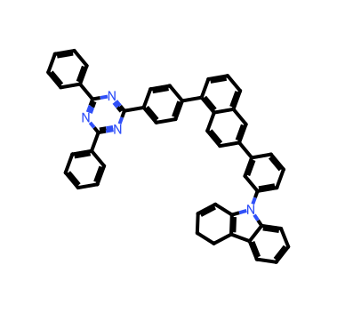 C1=Cc2c(c3ccccc3n2-c2cccc(-c3ccc4c(-c5ccc(-c6nc(-c7ccccc7)nc(-c7ccccc7)n6)cc5)cccc4c3)c2)CC1